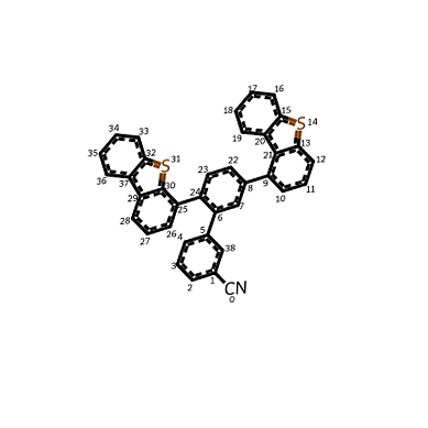 N#Cc1cccc(-c2cc(-c3cccc4sc5ccccc5c34)ccc2-c2cccc3c2sc2ccccc23)c1